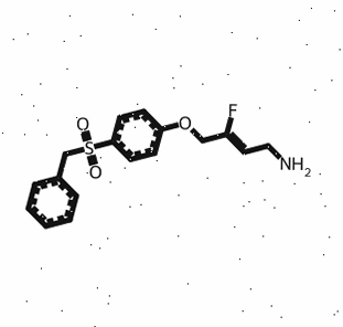 NCC=C(F)COc1ccc(S(=O)(=O)Cc2ccccc2)cc1